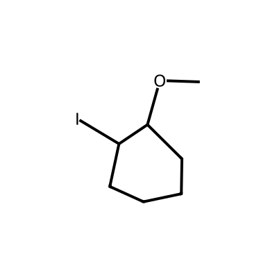 COC1CCCCC1I